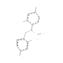 COc1ccc(CC(O[SiH3])c2ccc(OC)cc2OC)c(OC)c1